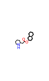 O=C(CC1CCCCN1)Oc1ccc2ccccc2c1